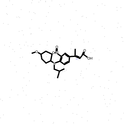 COC1CCC(N(CC(C)C)c2ccc(/C(C)=C/C(=O)O)cc2[N+](=O)[O-])CC1